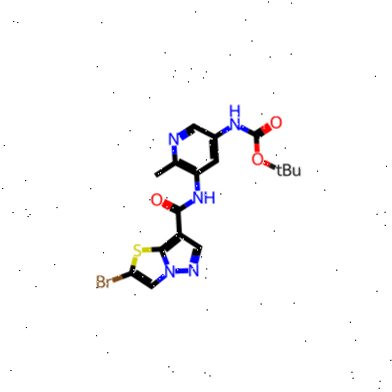 Cc1ncc(NC(=O)OC(C)(C)C)cc1NC(=O)c1cnn2cc(Br)sc12